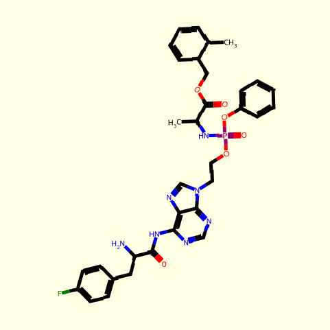 CC(NP(=O)(OCCn1cnc2c(NC(=O)C(N)Cc3ccc(F)cc3)ncnc21)Oc1ccccc1)C(=O)OCC1C=CC=CC1C